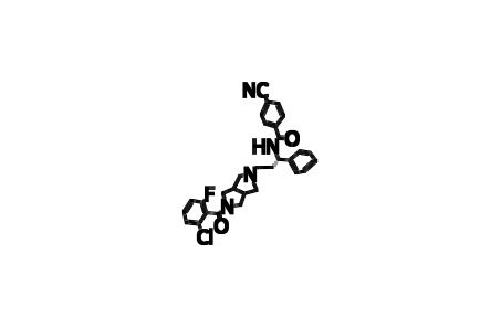 N#Cc1ccc(C(=O)N[C@@H](CCN2CC3CN(C(=O)c4c(F)cccc4Cl)CC3C2)c2ccccc2)cc1